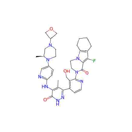 Cc1c(-c2ccnc(N3CCn4c5c(c(F)c4C3=O)CCCC5)c2CO)n[nH]c(=O)c1Nc1ccc(N2CCN(C3COC3)C[C@@H]2C)cn1